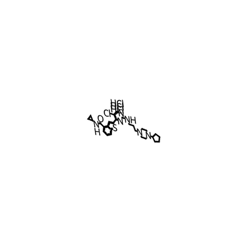 Cl.Cl.Cl.O=C(NC1CC1)c1cccc2sc(-c3nc(NCCCN4CCN(C5CCCC5)CC4)ncc3Cl)cc12